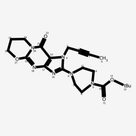 CC#CCn1c(N2CCN(C(=O)OC(C)(C)C)CC2)nc2nc3n(c(=O)c21)CCCO3